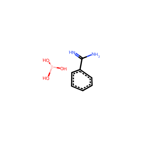 N=C(N)c1ccccc1.OB(O)O